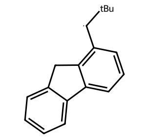 CC(C)(C)[CH]c1cccc2c1Cc1ccccc1-2